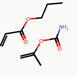 C=C(C)OC(N)=O.C=CC(=O)OCCC